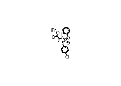 CC(C)OC(=O)[C@H](C)N[P@](=O)(Oc1ccccc1)Sc1ccc(Cl)cc1